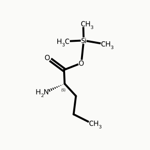 CCC[C@H](N)C(=O)O[Si](C)(C)C